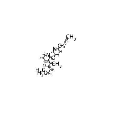 CC#CCOc1ccc(Oc2ncccc2/C(C)=C(/C=C\C)CC)cn1